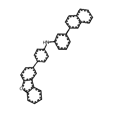 c1cc(Nc2ccc(-c3ccc4oc5ccccc5c4c3)cc2)cc(-c2ccc3ccccc3c2)c1